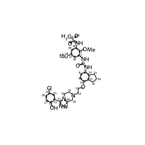 COc1c(NC(=O)Nc2ccc(OCCN3CCn4c(nnc4-c4cc(Cl)ccc4O)C3)c3c2CCC3)cc(C(C)(C)C)cc1NS(C)(=O)=O